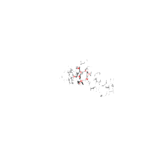 CC(C)(Cn1cccc(-c2nc3ccccc3n([C@H]3C[C@H]4CCC[C@@H](C3)N4[C@H]3C[C@@H]4CCC[C@@H](C4)C3)c2=O)c1=O)C(=O)O